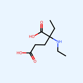 CCNC(CC)(CCC(=O)O)C(=O)O